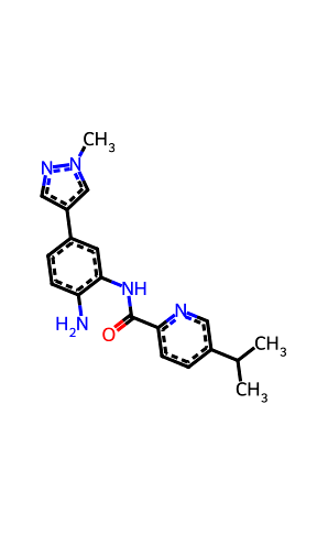 CC(C)c1ccc(C(=O)Nc2cc(-c3cnn(C)c3)ccc2N)nc1